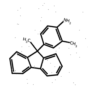 Cc1cc(C2(C)c3ccccc3-c3ccccc32)ccc1N